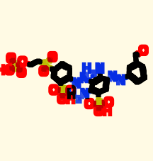 Nc1c(/N=N/c2cccc(C=O)c2)cc(S(=O)(=O)O)c(N)c1/N=N/c1ccc(S(=O)(=O)CCOS(=O)(=O)O)cc1S(=O)(=O)O